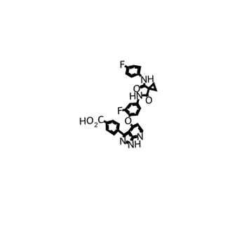 O=C(O)c1ccc(-c2n[nH]c3nccc(Oc4ccc(NC(=O)C5(C(=O)Nc6ccc(F)cc6)CC5)cc4F)c23)cc1